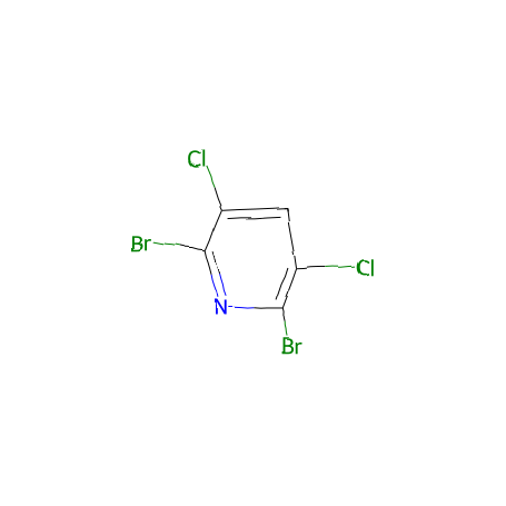 Clc1cc(Cl)c(Br)nc1Br